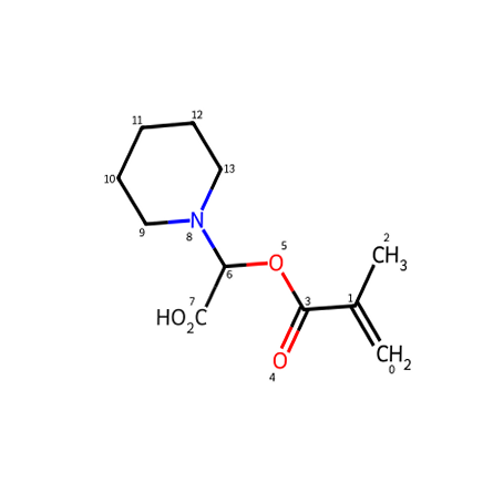 C=C(C)C(=O)OC(C(=O)O)N1CCCCC1